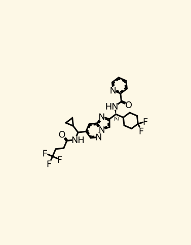 O=C(CCC(F)(F)F)NC(c1cnn2cc([C@@H](NC(=O)c3ccccn3)C3CCC(F)(F)CC3)nc2c1)C1CC1